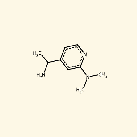 CC(N)c1ccnc(N(C)C)c1